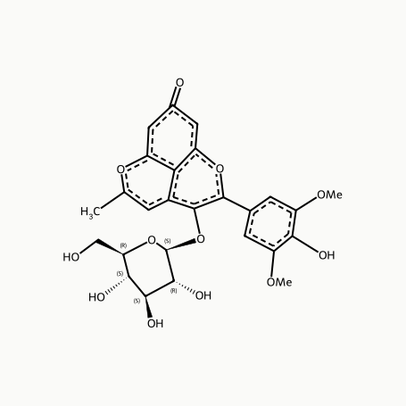 COc1cc(-c2oc3cc(=O)cc4oc(C)cc(c2O[C@@H]2O[C@H](CO)[C@@H](O)[C@H](O)[C@H]2O)c43)cc(OC)c1O